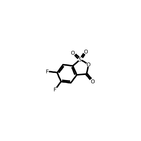 O=C1OS(=O)(=O)c2cc(F)c(F)cc21